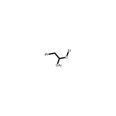 CCOC(CC(C)C)OC(C)=O